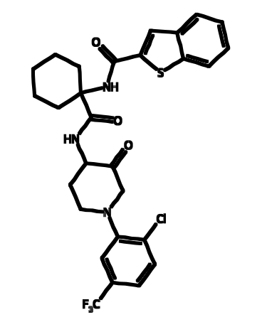 O=C(NC1(C(=O)NC2CCN(c3cc(C(F)(F)F)ccc3Cl)CC2=O)CCCCC1)c1cc2ccccc2s1